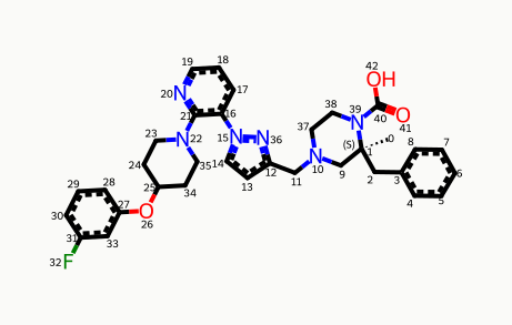 C[C@]1(Cc2ccccc2)CN(Cc2ccn(-c3cccnc3N3CCC(Oc4cccc(F)c4)CC3)n2)CCN1C(=O)O